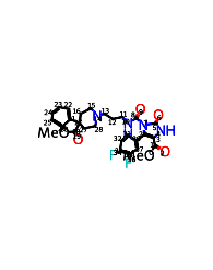 COC(=O)c1[nH]c(=O)n(C(=O)NCCCN2CCC(C(=O)OC)(c3ccccc3)CC2)c1-c1ccc(F)c(F)c1